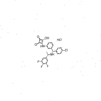 CC(NC(c1ccc(Cl)cc1)c1cccc(Nc2c(O)c(=O)c2=O)c1)c1cc(F)c(F)c(F)c1.Cl